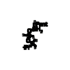 CCCCC[SiH2]O[Si](C)(C)O[Si](C)(C)[C](C)C